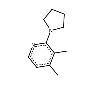 Cc1ccnc(N2CCCC2)c1C